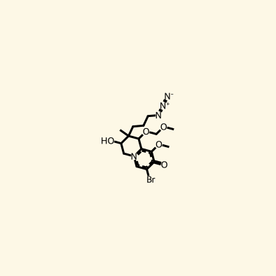 COCOC1c2c(OC)c(=O)c(Br)cn2CC(O)C1(C)CCCN=[N+]=[N-]